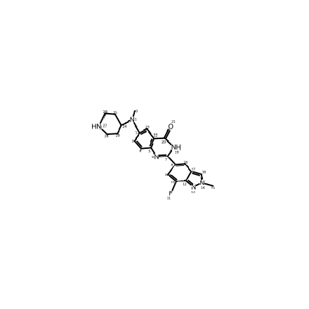 CN(c1ccc2nc(-c3cc(F)c4nn(C)cc4c3)[nH]c(=O)c2c1)C1CCNCC1